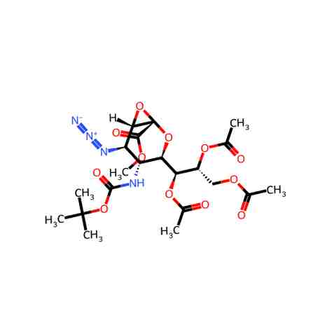 COC(=O)[C@@]12O[C@@H]([C@H](OC(C)=O)[C@@H](COC(C)=O)OC(C)=O)[C@H](NC(=O)OC(C)(C)C)[C@@H](N=[N+]=[N-])[C@@H]1O2